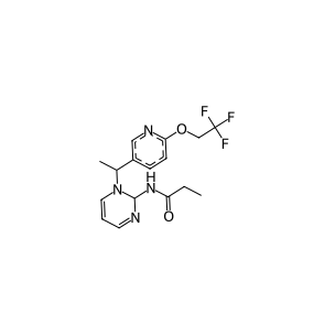 CCC(=O)NC1N=CC=CN1C(C)c1ccc(OCC(F)(F)F)nc1